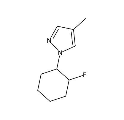 Cc1cnn(C2CCCCC2F)c1